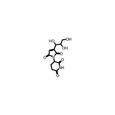 O=C1CCC(N2C(=O)C=C(C(O)C(O)CO)C2=O)C(=O)N1